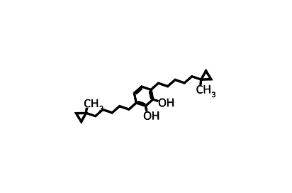 CC1(CCCCCc2ccc(CCCCCC3(C)CC3)c(O)c2O)CC1